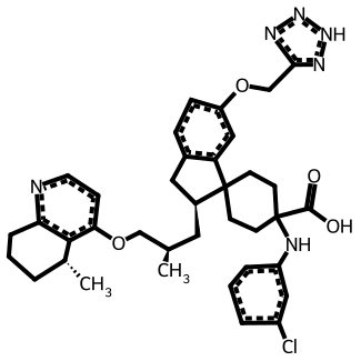 C[C@@H](COc1ccnc2c1[C@H](C)CCC2)C[C@H]1Cc2ccc(OCc3nn[nH]n3)cc2C12CCC(Nc1cccc(Cl)c1)(C(=O)O)CC2